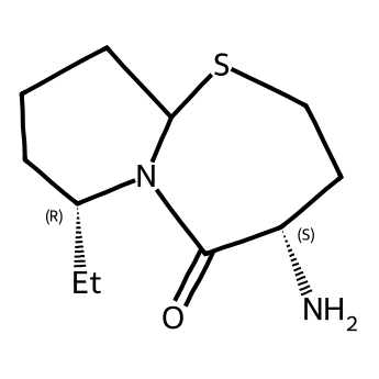 CC[C@@H]1CCCC2SCC[C@H](N)C(=O)N21